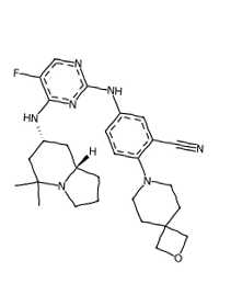 CC1(C)C[C@H](Nc2nc(Nc3ccc(N4CCC5(CC4)COC5)c(C#N)c3)ncc2F)C[C@@H]2CCCN21